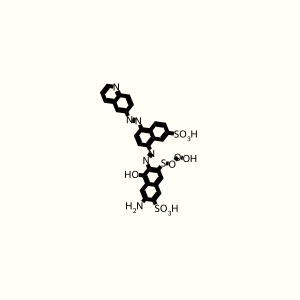 Nc1cc2c(O)c(N=Nc3ccc(N=Nc4ccc5ncccc5c4)c4ccc(S(=O)(=O)O)cc34)c(SOOO)cc2cc1S(=O)(=O)O